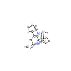 CC1(C23CC4CC(CC(C4)C2)C3)NC(C(=O)O)Cc2c1[nH]c1ccccc21